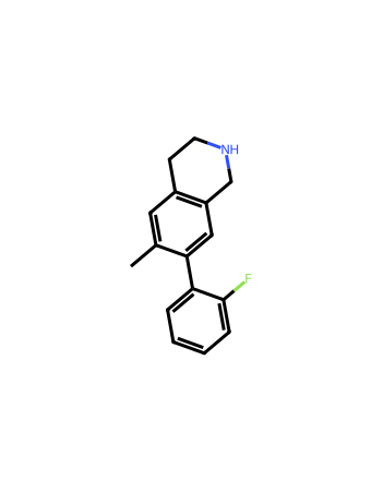 Cc1cc2c(cc1-c1ccccc1F)CNCC2